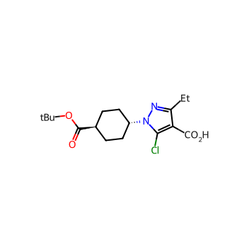 CCc1nn([C@H]2CC[C@H](C(=O)OC(C)(C)C)CC2)c(Cl)c1C(=O)O